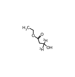 [2H]C([2H])(O)CC(=O)OCC